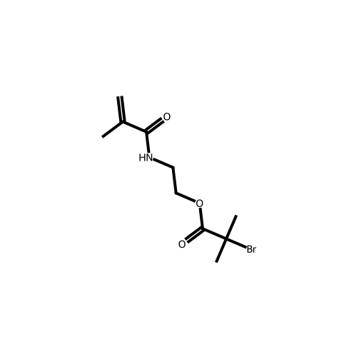 C=C(C)C(=O)NCCOC(=O)C(C)(C)Br